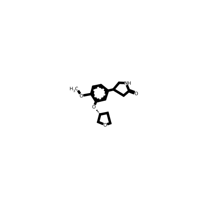 COc1ccc(C2CNC(=O)C2)cc1O[C@@H]1CCOC1